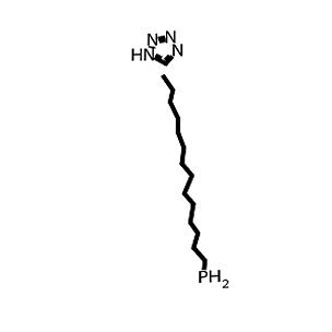 CCCCCCCCCCCCCCP.c1nnn[nH]1